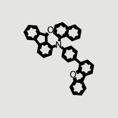 O=C1c2ccccc2-c2cccc(N(c3ccc(-c4cccc5c4oc4ccccc45)cc3)c3cccc4ccccc34)c21